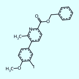 COc1ccc(-c2ccc(C(=O)OCc3ccccc3)nc2C)cc1I